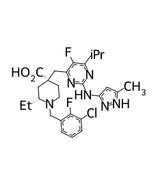 CC[C@@H]1C[C@](Cc2nc(Nc3cc(C)[nH]n3)nc(C(C)C)c2F)(C(=O)O)CCN1Cc1cccc(Cl)c1F